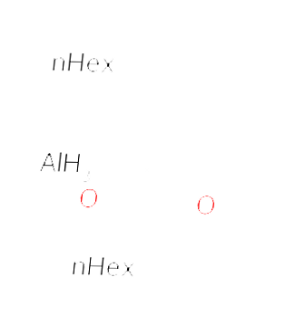 CCCCCCCC(=O)OCCCCCC.[AlH3]